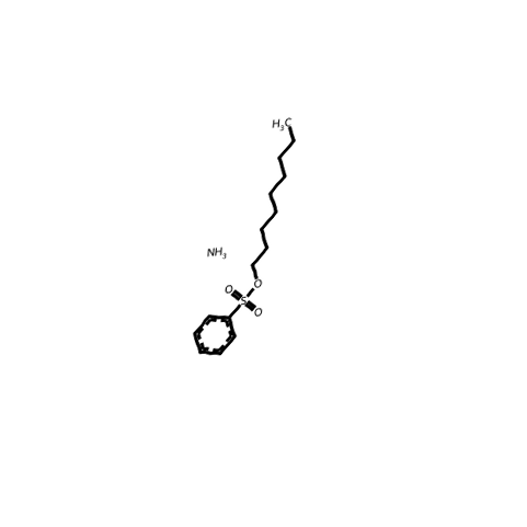 CCCCCCCCCOS(=O)(=O)c1ccccc1.N